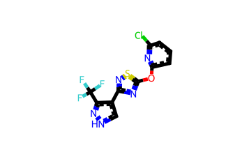 FC(F)(F)c1n[nH]cc1-c1nsc(Oc2cccc(Cl)n2)n1